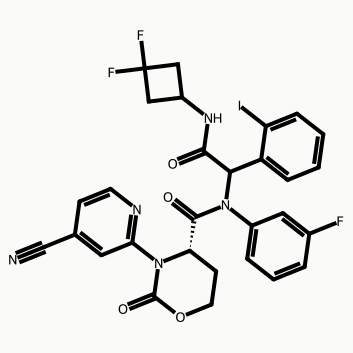 N#Cc1ccnc(N2C(=O)OCC[C@H]2C(=O)N(c2cccc(F)c2)C(C(=O)NC2CC(F)(F)C2)c2ccccc2I)c1